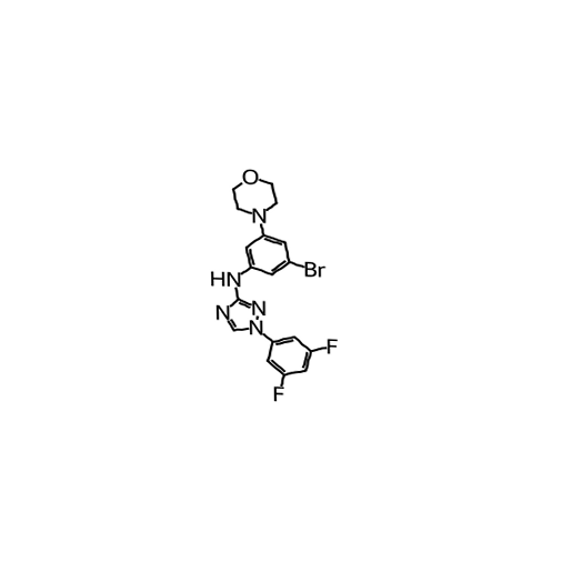 Fc1cc(F)cc(-n2cnc(Nc3cc(Br)cc(N4CCOCC4)c3)n2)c1